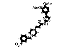 COc1ccc(-c2csc(NC(=O)CCN3CCN(Cc4cccc([N+](=O)[O-])c4)CC3)n2)cc1OC